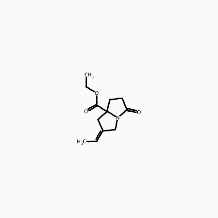 C/C=C1/CN2C(=O)CCC2(C(=O)OCC)C1